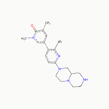 Cc1cc(-c2ccc(N3CCN4CCNCC4C3)nc2C(C)C)cn(C)c1=O